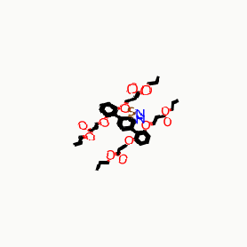 CCCOC(=O)CCOc1cccc(OCCC(=O)OCCC)c1-c1ccc(-c2c(OCCC(=O)OCCC)cccc2OCCC(=O)OCCC)c2snnc12